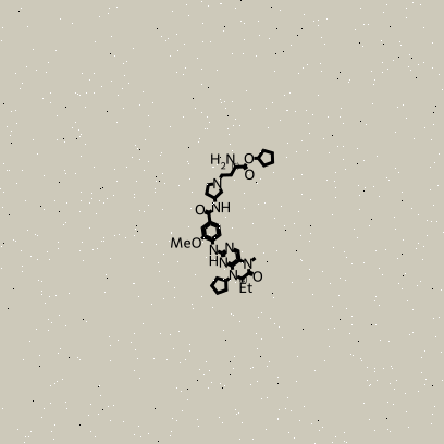 CC[C@@H]1C(=O)N(C)c2cnc(Nc3ccc(C(=O)NC4CCN(CC[C@H](N)C(=O)OC5CCCC5)C4)cc3OC)nc2N1C1CCCC1